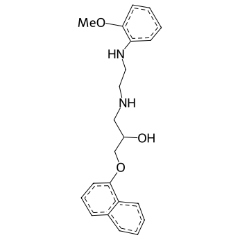 COc1ccccc1NCCNCC(O)COc1cccc2ccccc12